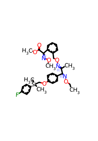 CCO/N=C(/C(C)=N/OCc1ccccc1/C(=N\OC)C(=O)OC)c1ccc(OC[Si](C)(C)c2ccc(F)cc2)cc1